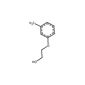 Cc1cc[c]c(OCCO)c1